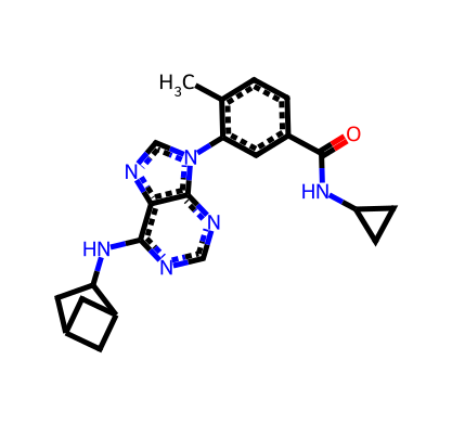 Cc1ccc(C(=O)NC2CC2)cc1-n1cnc2c(NC3CC4CC3C4)ncnc21